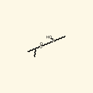 CCCCCCCCN(CCO)CCCCCCCC(=O)OCCCC(CCCCC)CCCCC